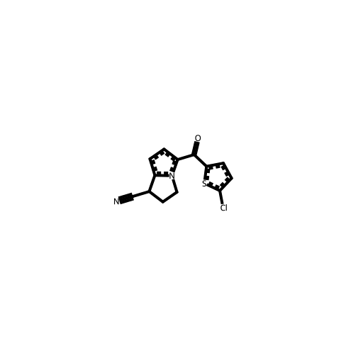 N#CC1CCn2c(C(=O)c3ccc(Cl)s3)ccc21